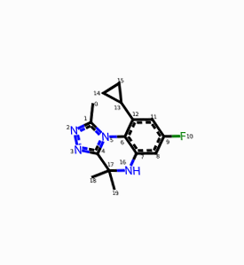 Cc1nnc2n1-c1c(cc(F)cc1C1CC1)NC2(C)C